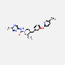 Cc1ccc(Oc2cccc(C=C3CCN(C(=O)Nc4cnc(C)cn4)CC3C)c2)nc1